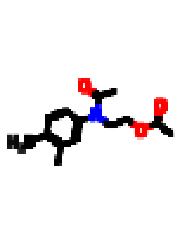 Bc1ccc(N(CCOC(C)=O)C(C)=O)cc1C